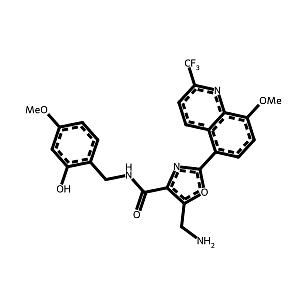 COc1ccc(CNC(=O)c2nc(-c3ccc(OC)c4nc(C(F)(F)F)ccc34)oc2CN)c(O)c1